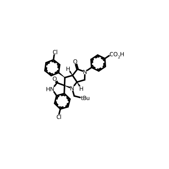 CC(C)(C)CN1[C@H]2CN(c3ccc(C(=O)O)cc3)C(=O)[C@H]2[C@H](c2cccc(Cl)c2)[C@]12C(=O)Nc1cc(Cl)ccc12